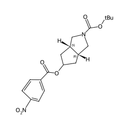 CC(C)(C)OC(=O)N1C[C@H]2CC(OC(=O)c3ccc([N+](=O)[O-])cc3)C[C@H]2C1